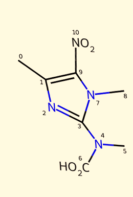 Cc1nc(N(C)C(=O)O)n(C)c1[N+](=O)[O-]